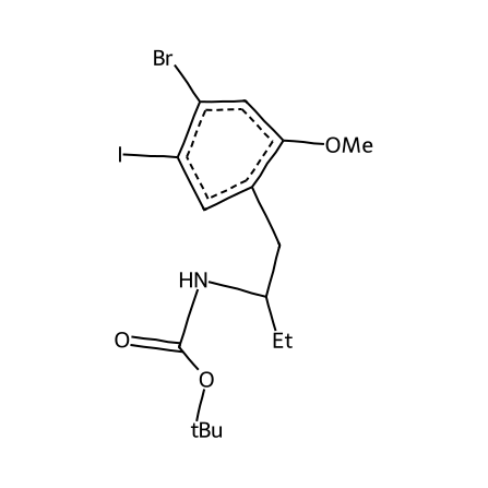 CCC(Cc1cc(I)c(Br)cc1OC)NC(=O)OC(C)(C)C